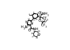 Cc1ccc(C(OC(=O)C(F)(F)F)(C(N)=O)C(F)(F)F)cc1-c1cnc(N)c(C(=O)N[C@H]2CCCOC2)n1